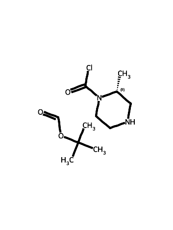 CC(C)(C)OC=O.C[C@@H]1CNCCN1C(=O)Cl